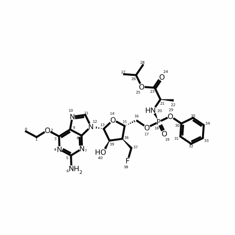 CCOc1nc(N)nc2c1ncn2[C@@H]1O[C@H](CO[P@](=O)(N[C@H](C)C(=O)OC(C)C)Oc2ccccc2)[C@@H](CF)[C@H]1O